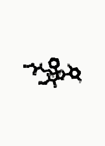 CON(C)C(=O)N1N=C(c2cc(F)ccc2F)S[C@@]1(CCCNC(=O)OC(C)(C)C)c1ccccc1